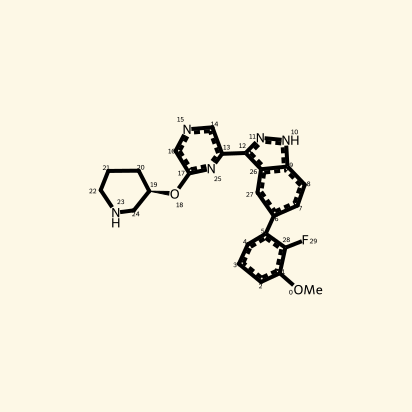 COc1cccc(-c2ccc3[nH]nc(-c4cncc(O[C@@H]5CCCNC5)n4)c3c2)c1F